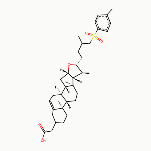 Cc1ccc(S(=O)(=O)CC(C)CC[C@H]2O[C@H]3C[C@H]4[C@@H]5CC=C6CC(CC(=O)O)CC[C@]6(C)[C@H]5CC[C@]4(C)[C@H]3[C@@H]2C)cc1